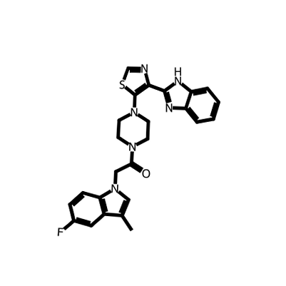 Cc1cn(CC(=O)N2CCN(c3scnc3-c3nc4ccccc4[nH]3)CC2)c2ccc(F)cc12